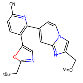 COCc1cn2ccc(-c3nc(C#N)ccc3-c3cnc(CC(C)(C)C)o3)cc2n1